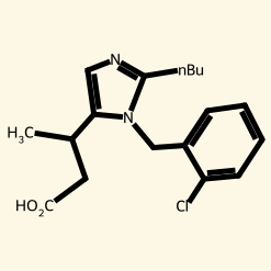 CCCCc1ncc(C(C)CC(=O)O)n1Cc1ccccc1Cl